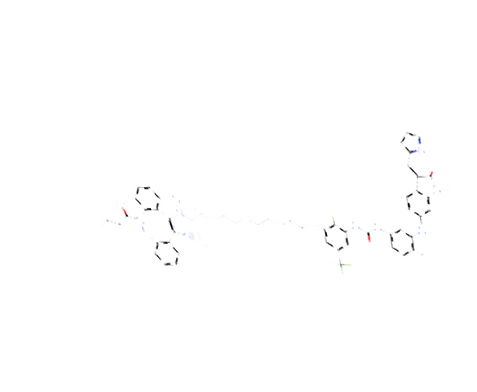 CCCC(=O)N1Cc2ccccc2/C(N)=C(/N(N)CCOCCOCCOCCOc2cc(C(F)(F)F)cc(NC(=O)Nc3ccc(C)c(Nc4ccc5c(c4)NC(=O)/C5=C\c4ccc[nH]4)c3)c2F)c2ccccc21